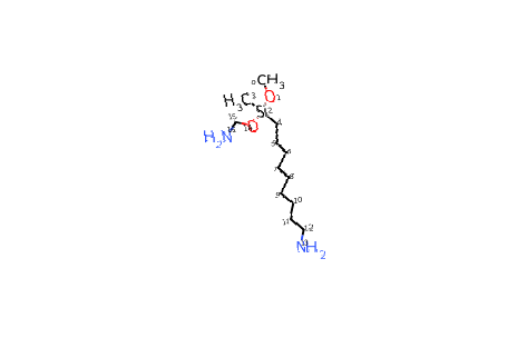 CO[Si](C)(CCCCCCCCCN)OCN